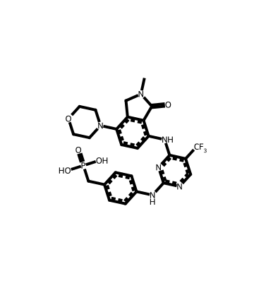 CN1Cc2c(N3CCOCC3)ccc(Nc3nc(Nc4ccc(CP(=O)(O)O)cc4)ncc3C(F)(F)F)c2C1=O